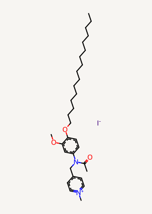 CCCCCCCCCCCCCCCCOc1ccc(N(Cc2cc[n+](C)cc2)C(C)=O)cc1OC.[I-]